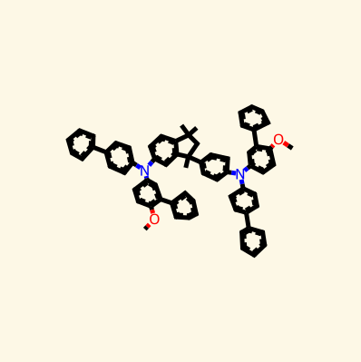 COc1ccc(N(c2ccc(-c3ccccc3)cc2)c2ccc(C3(C)CC(C)(C)c4ccc(N(c5ccc(-c6ccccc6)cc5)c5ccc(OC)c(-c6ccccc6)c5)cc43)cc2)cc1-c1ccccc1